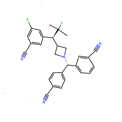 CC(C)(F)[C@H](c1cc(F)cc(C#N)c1)C1CN([C@@H](c2ccc(C#N)cc2)c2cccc(C#N)c2)C1